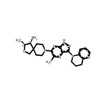 Cc1nc2c(N3CCCc4ncccc43)n[nH]c2nc1N1CCC2(CC1)CO[C@@H](C)[C@H]2N